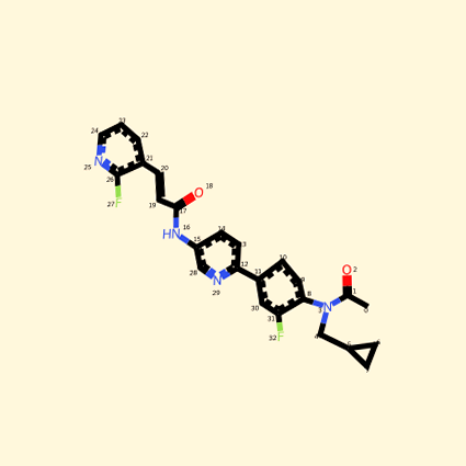 CC(=O)N(CC1CC1)c1ccc(-c2ccc(NC(=O)C=Cc3cccnc3F)cn2)cc1F